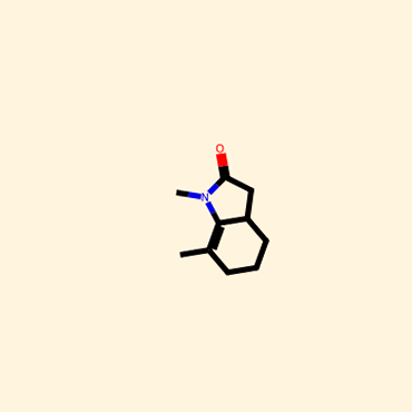 CC1=C2C(CCC1)CC(=O)N2C